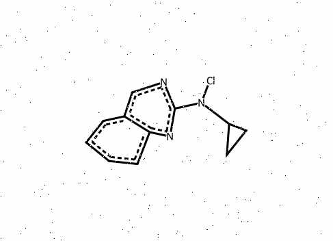 ClN(c1ncc2ccccc2n1)C1CC1